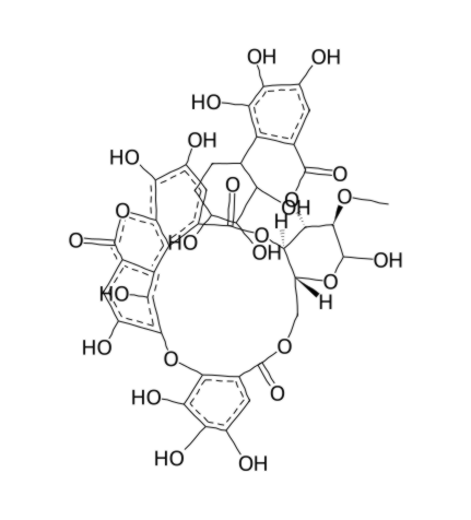 CO[C@H]1C(O)O[C@@H]2COC(=O)c3cc(O)c(O)c(O)c3Oc3c(O)cc4c(=O)oc5c(O)c(O)cc(c5c4c3O)C(=O)O[C@H]2[C@@H]1OC(=O)c1cc(O)c(O)c(O)c1C1CCC(O)C(O)C1O